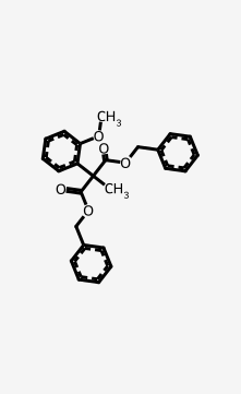 COc1ccccc1C(C)(C(=O)OCc1ccccc1)C(=O)OCc1ccccc1